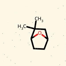 CC1(C)CC2CCC1O2